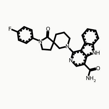 NC(=O)c1cnc(N2CCCC3(CCN(c4ccc(F)cc4)C3=O)C2)c2c1[nH]c1ccccc12